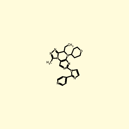 CCC1c2nnc(C)n2-c2cnc(-n3ccnc3-c3ccncc3)nc2N1C1CCOCC1